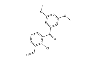 COc1cc(OC)cc(C(=O)c2cccc([C]=O)c2Cl)c1